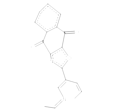 C\C=C/C(=C\N=C/C)c1nc2c(o1)C(=O)c1ccccc1C2=O